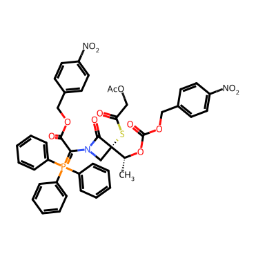 CC(=O)OCC(=O)S[C@]1([C@@H](C)OC(=O)OCc2ccc([N+](=O)[O-])cc2)CN(C(C(=O)OCc2ccc([N+](=O)[O-])cc2)=P(c2ccccc2)(c2ccccc2)c2ccccc2)C1=O